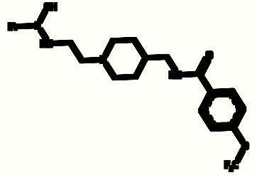 CC(C)P(O)NCCN1CCC(CNC(=O)c2ccc(OC(F)(F)F)cc2)CC1